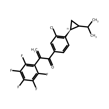 C=C(C(=O)c1ccc([C@H]2CC2C(C)C)c(Cl)c1)c1c(F)c(F)c(F)c(F)c1F